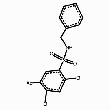 CC(=O)c1cc(S(=O)(=O)NCc2ccccc2)c(Cl)cc1Cl